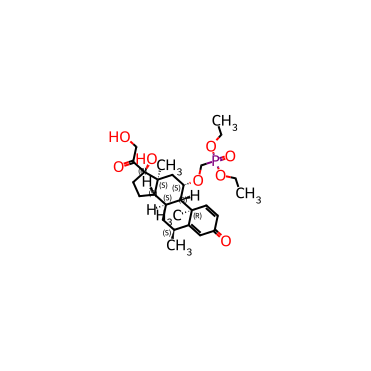 CCOP(=O)(CO[C@H]1C[C@@]2(C)[C@@H](CC[C@]2(O)C(=O)CO)[C@@H]2C[C@H](C)C3=CC(=O)C=C[C@]3(C)[C@H]21)OCC